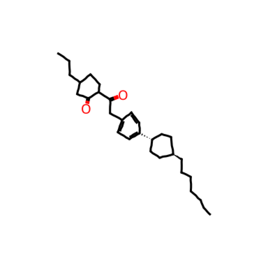 CCCCCCC[C@H]1CC[C@H](c2ccc(CC(=O)C3CCC(CCC)CC3=O)cc2)CC1